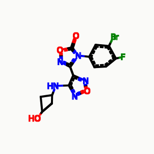 O=c1onc(-c2nonc2NC2CC(O)C2)n1-c1ccc(F)c(Br)c1